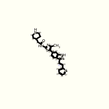 Cc1nc(NC(=O)CC2CCNCC2)sc1-c1ccc2c(/C=C/c3ccccn3)n[nH]c2c1